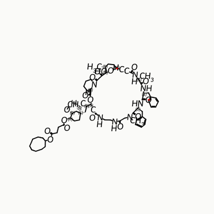 CO[C@@H]1C[C@H](C[C@@H](C)[C@@H]2CC(=O)NCCNC(=O)CN(C)C(=O)[C@H](Cc3ccccc3)NC(=O)[C@H](Cc3ccccc3)NC(=O)[C@H](C)NC(=O)CC[C@@H]3CC[C@@H](C)[C@@](O)(O3)C(=O)C(=O)N3CCCC[C@H]3C(=O)O2)CC[C@H]1OC(=O)CCC(=O)OC1CCCCCCCC1